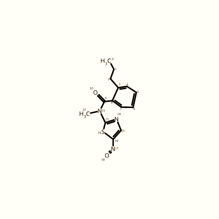 CCCc1ccccc1C(=O)N(C)c1ncc(N=O)s1